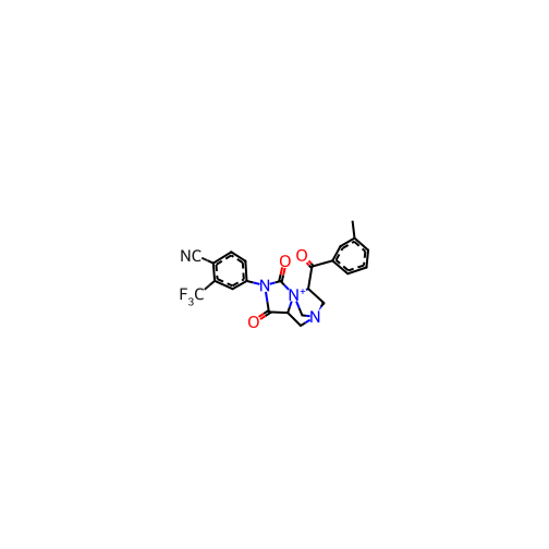 Cc1cccc(C(=O)C2C[N@@]3CC4C(=O)N(c5ccc(C#N)c(C(F)(F)F)c5)C(=O)[N+]24C3)c1